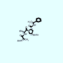 CN[C@@H](C)C(=O)N[C@H](C(=O)N1C[C@@H](NC(C)=O)C[C@H]1C(=O)N[C@@H](C)c1ccccc1)C(C)(C)C